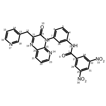 O=C(Nc1cccc(-n2c(=O)c(Cc3cccnc3)nc3cccnc32)c1)c1cc([N+](=O)[O-])cc([N+](=O)[O-])c1